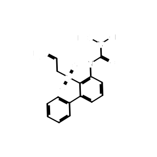 C=CCS(=O)(=O)c1c(NC(=O)N(C)C)cccc1-c1ccccc1